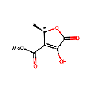 COC(=O)C1=C(O)C(=O)O[C@@H]1C